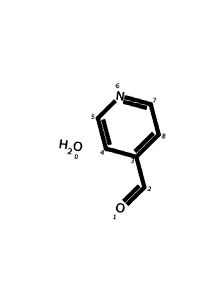 O.O=Cc1ccncc1